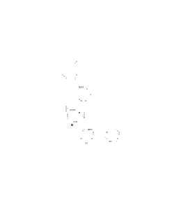 C=C/C=C(\C=C)c1cccc(-c2nc(C)nc(-c3cccc(-c4ccccc4)c3)n2)c1